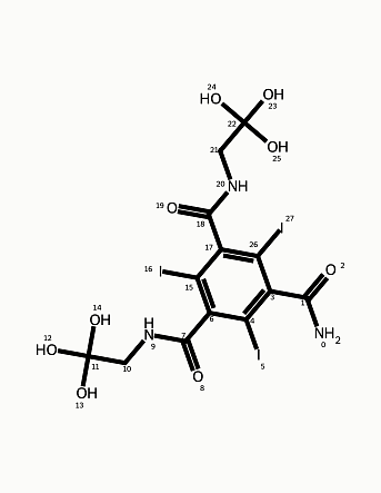 NC(=O)c1c(I)c(C(=O)NCC(O)(O)O)c(I)c(C(=O)NCC(O)(O)O)c1I